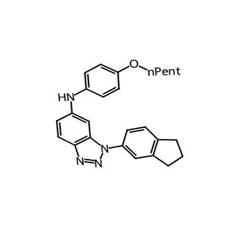 CCCCCOc1ccc(Nc2ccc3nnn(-c4ccc5c(c4)CCC5)c3c2)cc1